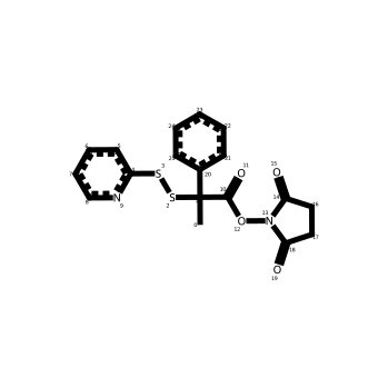 CC(SSc1ccccn1)(C(=O)ON1C(=O)CCC1=O)c1ccccc1